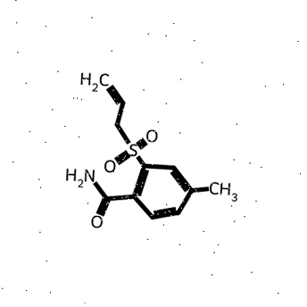 C=CCS(=O)(=O)c1cc(C)ccc1C(N)=O